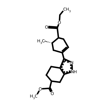 CCOC(=O)C1CC=C(c2n[nH]c3c2CCC(C(=O)OC)C3)C[C@@H]1C